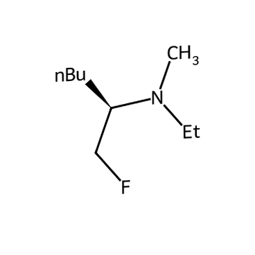 CCCC[C@H](CF)N(C)CC